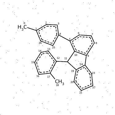 Cc1ccc(-c2cccc3c2C(c2ccccc2C)c2ccccc2-3)cc1